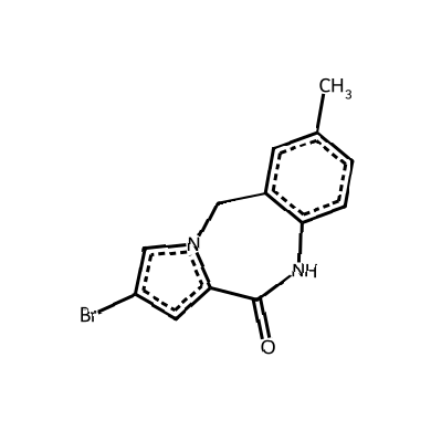 Cc1ccc2c(c1)Cn1cc(Br)cc1C(=O)N2